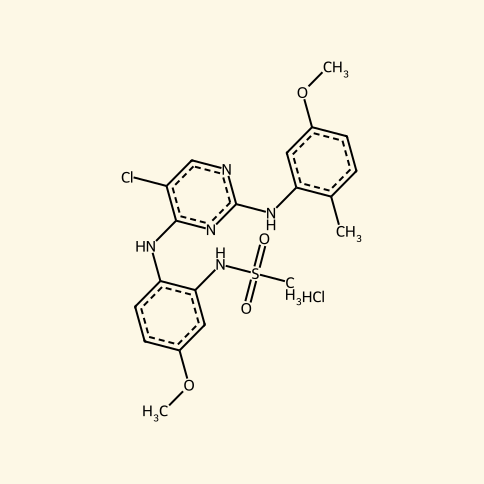 COc1ccc(C)c(Nc2ncc(Cl)c(Nc3ccc(OC)cc3NS(C)(=O)=O)n2)c1.Cl